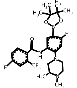 C[C@H]1CN(c2cc(F)c(B3OC(C)(C)C(C)(C)O3)cc2NC(=O)c2ccc(F)cc2C(F)(F)F)CCN1C